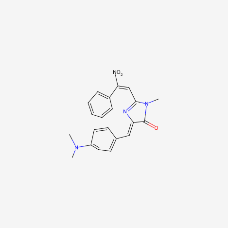 CN1C(=O)/C(=C/c2ccc(N(C)C)cc2)N=C1/C=C(\c1ccccc1)[N+](=O)[O-]